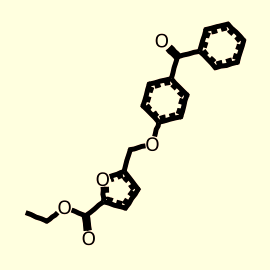 CCOC(=O)c1ccc(COc2ccc(C(=O)c3ccccc3)cc2)o1